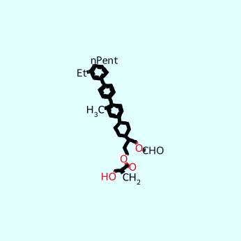 C=C(CO)C(=O)OCCC(COC=O)C1CCC(c2ccc(-c3ccc(-c4ccc(CCCCC)c(CC)c4)cc3)c(C)c2)CC1